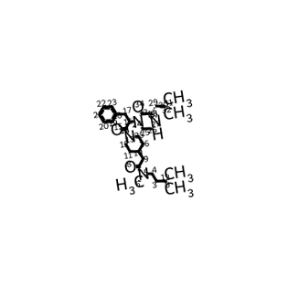 CC(C)CCN(C)C(=O)CC1CCN(C(=O)C(Cc2ccccc2)N2CCN[C@@H](CC(C)C)C2=O)CC1